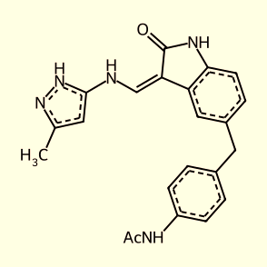 CC(=O)Nc1ccc(Cc2ccc3c(c2)/C(=C/Nc2cc(C)n[nH]2)C(=O)N3)cc1